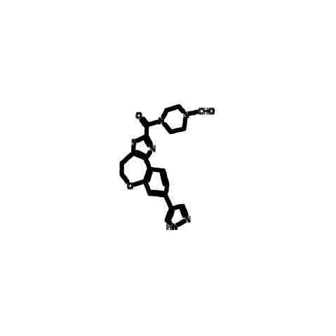 O=CN1CCN(C(=O)c2nc3c(s2)CCOc2cc(-c4cn[nH]c4)ccc2-3)CC1